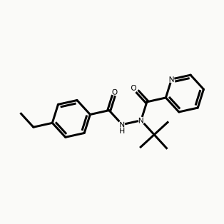 CCc1ccc(C(=O)NN(C(=O)c2ccccn2)C(C)(C)C)cc1